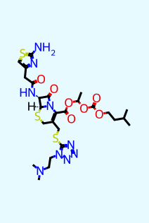 CC(C)CCOC(=O)OC(C)OC(=O)C1=C(CSc2nnnn2CCN(C)C)CS[C@H]2[C@H](NC(=O)Cc3csc(N)n3)C(=O)N12